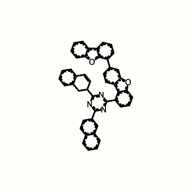 C1=CC(c2nc(-c3ccc4ccccc4c3)nc(-c3cccc4oc5cc(-c6cccc7c6oc6ccccc67)ccc5c34)n2)Cc2ccccc21